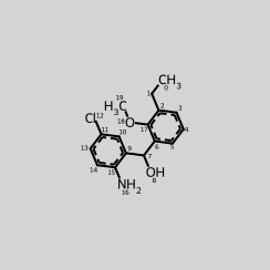 CCc1cccc(C(O)c2cc(Cl)ccc2N)c1OC